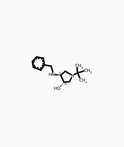 CC(C)(C)N1C[C@H](NCc2ccccc2)[C@@H](O)C1